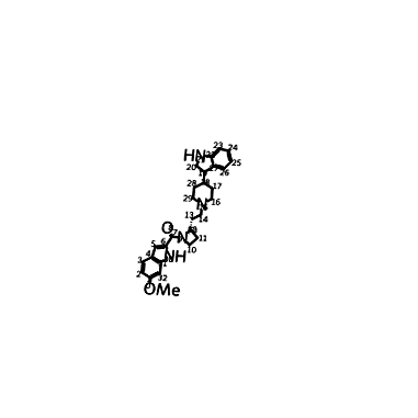 COc1ccc2cc(C(=O)N3CC[C@H]3CCN3CCC(C4CNc5ccccc54)CC3)[nH]c2c1